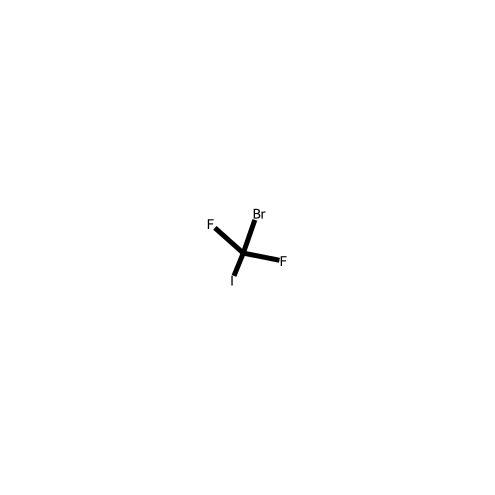 FC(F)(Br)I